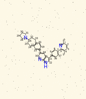 Cc1ccc(C)c(-c2ccc(-c3c[nH]c4ncc(-c5ccc6c(c5)CC[C@@H](N5CCCC5)CC6)cc34)cc2)n1